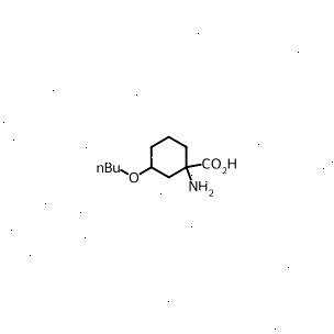 CCCCOC1CCCC(N)(C(=O)O)C1